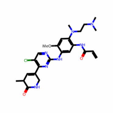 C=CC(=O)Nc1cc(Nc2ncc(Cl)c(C3=CC(C)C(=O)NC3)n2)c(OC)cc1N(C)CCN(C)C